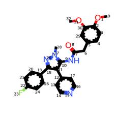 COc1ccc(CC(=O)Nc2c(-c3ccncc3)c(-c3ccc(F)cc3)nn2C)cc1OC